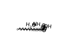 CCCCCCCCCCCCCCCCCC(=O)OS(=O)(=O)O.O.[AlH3]